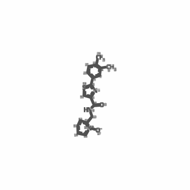 Cc1cc(-c2nc(C(=O)NCc3cccc[n+]3[O-])cs2)ccc1C(F)(F)F